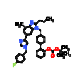 CCCc1nc2c(C)cc(-c3cn(Cc4ccc(F)cc4)cn3)cc2n1Cc1ccc(-c2ccccc2OC(=O)OC(C)(C)C)cc1